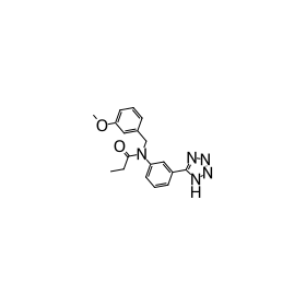 CCC(=O)N(Cc1cccc(OC)c1)c1cccc(-c2nnn[nH]2)c1